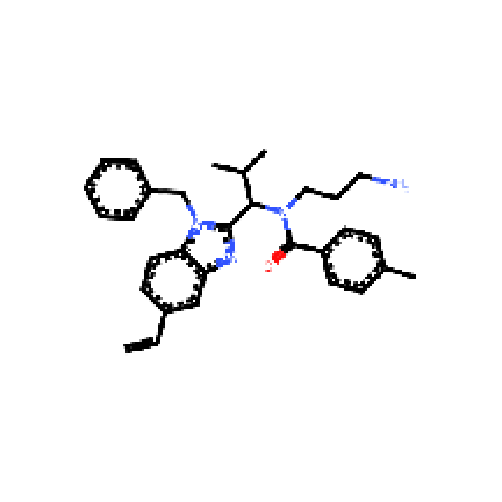 C=Cc1ccc2c(c1)nc(C(C(C)C)N(CCCN)C(=O)c1ccc(C)cc1)n2Cc1ccccc1